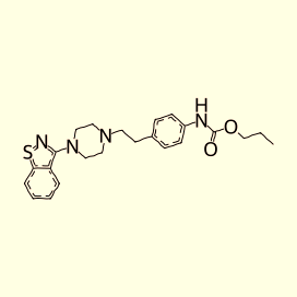 CCCOC(=O)Nc1ccc(CCN2CCN(c3nsc4ccccc34)CC2)cc1